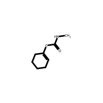 CNC(=O)OC1=CCCCC1